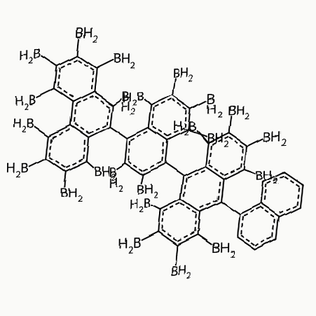 Bc1c(B)c(B)c2c(-c3c(B)c4c(B)c(B)c(B)c(B)c4c4c(B)c(B)c(B)c(B)c34)c(B)c(B)c(-c3c4c(B)c(B)c(B)c(B)c4c(-c4cccc5ccccc45)c4c(B)c(B)c(B)c(B)c34)c2c1B